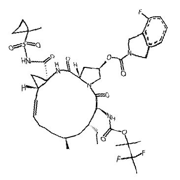 CC[C@@H]1C[C@@H](C)CC/C=C\[C@@H]2C[C@@]2(C(=O)NS(=O)(=O)C2(C)CC2)NC(=O)[C@@H]2C[C@@H](OC(=O)N3Cc4cccc(F)c4C3)CN2C(=O)[C@H]1NC(=O)OC(C)(C)C(C)(F)F